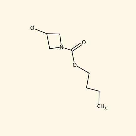 CCCCOC(=O)N1CC([O])C1